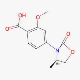 COc1cc(N2C(=O)OC[C@H]2C)ccc1C(=O)O